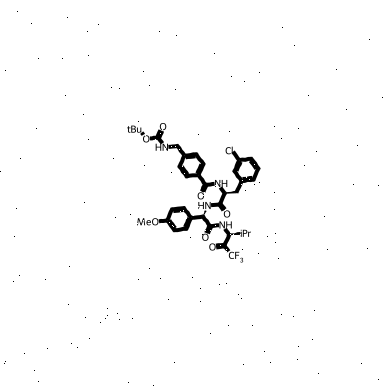 COc1ccc([C@H](NC(=O)[C@H](Cc2cccc(Cl)c2)NC(=O)c2ccc(CNC(=O)OC(C)(C)C)cc2)C(=O)N[C@H](C(=O)C(F)(F)F)C(C)C)cc1